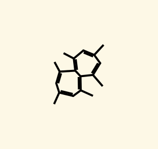 CC1=CC(C)=C2C(C)=CC(C)=CC(C)=C2C(C)=C1